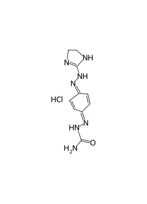 Cl.NC(=O)NN=C1C=CC(=NNC2=NCCN2)C=C1